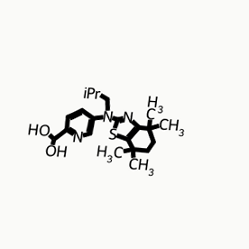 CC(C)CN(c1ccc(C(O)O)nc1)c1nc2c(s1)C(C)(C)CCC2(C)C